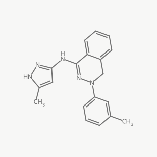 Cc1cccc(N2Cc3ccccc3C(Nc3cc(C)[nH]n3)=N2)c1